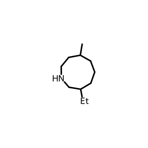 CCC1CCCC(C)CCNC1